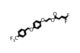 O=C(CC=C(F)F)OCCOc1ccc(OCc2ccc(C(F)(F)F)cc2)cc1